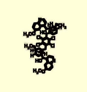 C=C[C@H]1C[N@+]2(Cc3c(Cl)c(Cl)c(C[N@@+]45CC[C@@H](C[C@H]4[C@H](O)c4ccnc6ccc(OC)cc46)[C@@H](C=C)C5)c(Cl)c3Cl)CC[C@H]1C[C@H]2[C@H](O)c1ccnc2ccc(OC)cc12